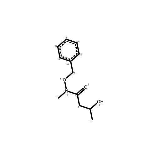 CC(O)CC(=O)N(C)OCc1ccccc1